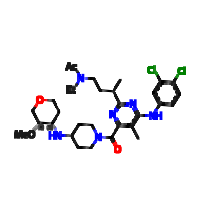 CCN(CCC(C)c1nc(Nc2ccc(Cl)c(Cl)c2)c(C)c(C(=O)N2CCC(N[C@H]3CCOC[C@H]3OC)CC2)n1)C(C)=O